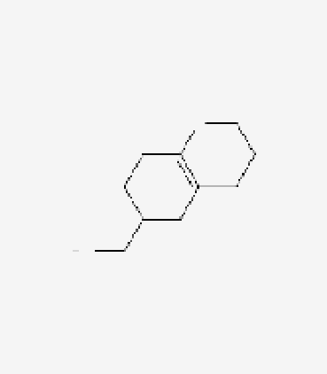 OCC1CCC2=C(CCCO2)C1